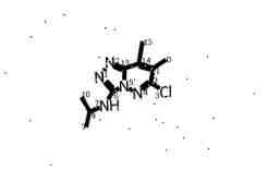 Cc1c(Cl)nn2c(NC(C)C)nnc2c1C